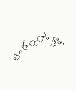 CC1(C)OC[C@@H](COC(=O)N2CC=C(c3ccc(N4C[C@H](COc5ccon5)OC4=O)cc3F)CC2)O1